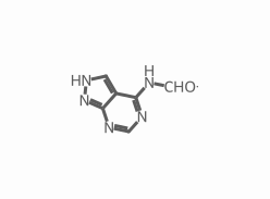 O=[C]Nc1ncnc2n[nH]cc12